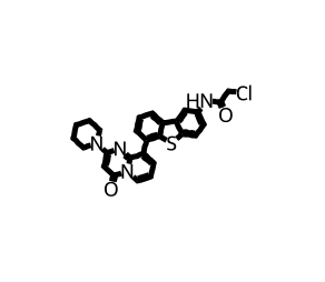 O=C(CCl)Nc1ccc2sc3c(-c4cccn5c(=O)cc(N6CCCCC6)nc45)cccc3c2c1